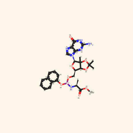 C[C@H](NP(OC[C@H]1O[C@@H](n2cnc3c(=O)[nH]c(N)nc32)C2(C)OC(C)(C)OC12)Oc1cccc2ccccc12)C(=O)OC(C)(C)C